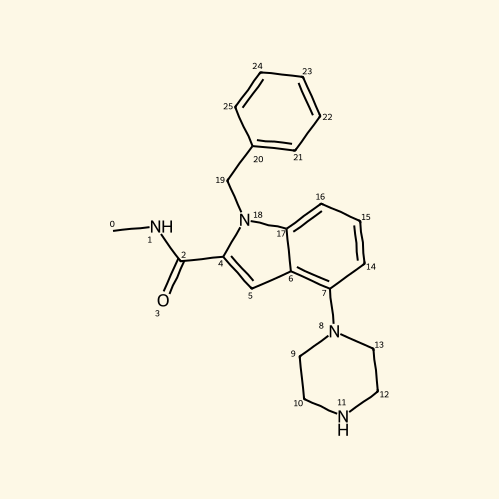 CNC(=O)c1cc2c(N3CCNCC3)cccc2n1Cc1ccccc1